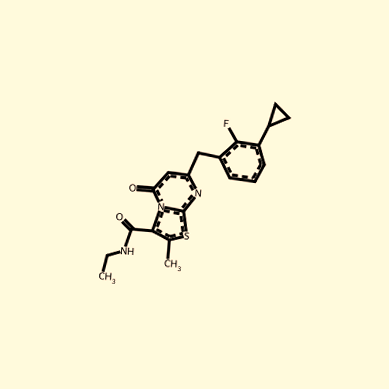 CCNC(=O)c1c(C)sc2nc(Cc3cccc(C4CC4)c3F)cc(=O)n12